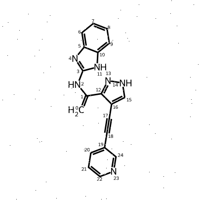 C=C(Nc1nc2ccccc2[nH]1)c1n[nH]cc1C#Cc1cccnc1